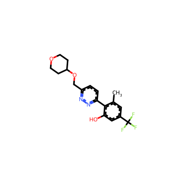 Cc1cc(C(F)(F)F)cc(O)c1-c1ccc(COC2CCOCC2)nn1